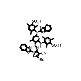 Cc1cc(N(c2nc3ccccc3s2)c2c(C)cc(C)c(S(=O)(=O)O)c2C)nc(Nc2c(C)cc(C)c(S(=O)(=O)O)c2C)c1/N=N/c1c(C#N)c(C(C)(C)C)nn1-c1nc2ccccc2s1